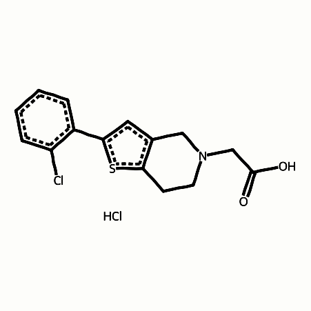 Cl.O=C(O)CN1CCc2sc(-c3ccccc3Cl)cc2C1